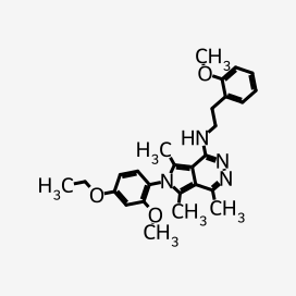 CCOc1ccc(-n2c(C)c3c(C)nnc(NCCc4ccccc4OC)c3c2C)c(OC)c1